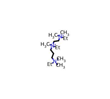 CC[N+](C)(C)CCC[N+](C)(CC)CC[N+](C)(C)CC